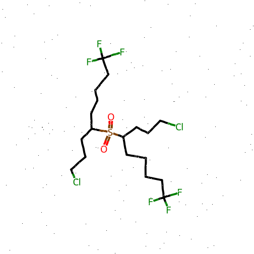 O=S(=O)(C(CCCCl)CCCCC(F)(F)F)C(CCCCl)CCCCC(F)(F)F